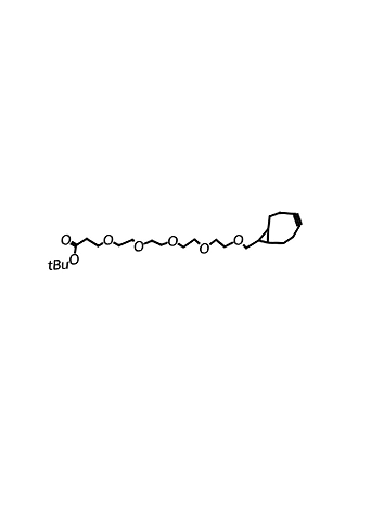 CC(C)(C)OC(=O)CCOCCOCCOCCOCCOCC1C2CCC#CCCC21